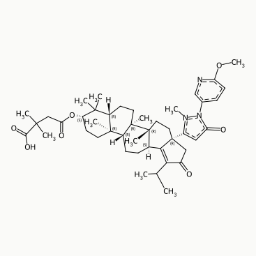 COc1ccc(-n2c(=O)cc([C@@]34CC[C@]5(C)[C@H](CC[C@@H]6[C@@]7(C)CC[C@H](OC(=O)CC(C)(C)C(=O)O)C(C)(C)[C@@H]7CC[C@]65C)C3=C(C(C)C)C(=O)C4)n2C)cn1